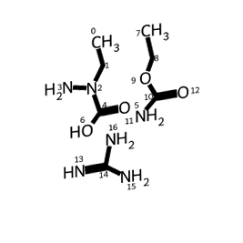 CCN(N)C(=O)O.CCOC(N)=O.N=C(N)N